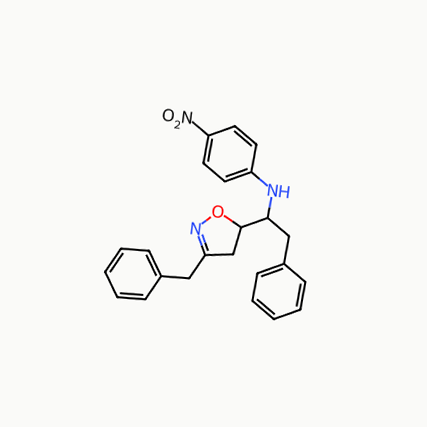 O=[N+]([O-])c1ccc(NC(Cc2ccccc2)C2CC(Cc3ccccc3)=NO2)cc1